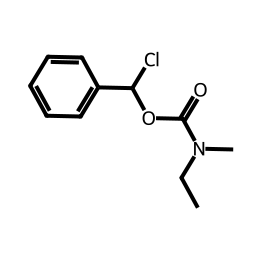 CCN(C)C(=O)OC(Cl)c1ccccc1